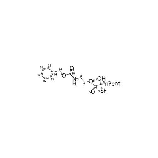 CCCCCC(O)(S)C(=O)OCCNC(=O)OCc1ccccc1